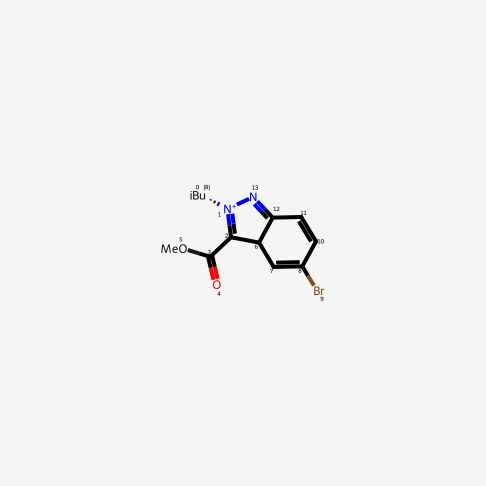 CC[C@@H](C)[N+]1=C(C(=O)OC)C2C=C(Br)C=CC2=N1